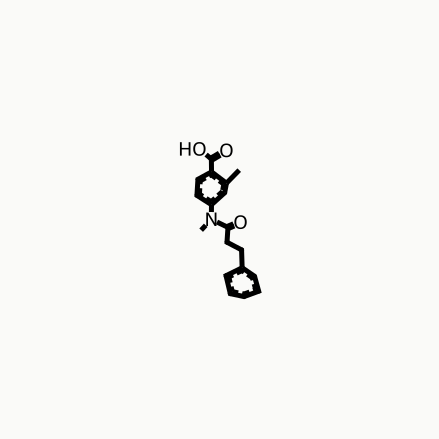 Cc1cc(N(C)C(=O)CCc2ccccc2)ccc1C(=O)O